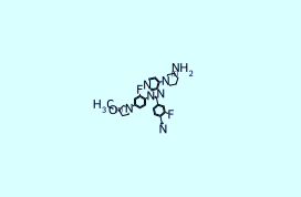 CO[C@H]1CCN(c2ccc(-n3c(-c4ccc(C#N)c(F)c4)nc4c(N5CCC[C@H](N)C5)ccnc43)c(F)c2)C1